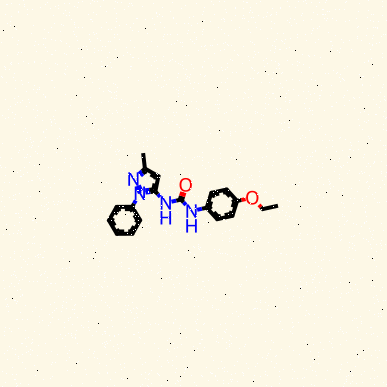 CCOc1ccc(NC(=O)Nc2cc(C)nn2-c2ccccc2)cc1